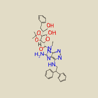 CCN(C(=O)[C@H]1O[C@@H](O)[C@]2(C(CO)Cc3ccccc3)OC(C)(C)O[C@H]12)n1c(N)nc2c(NCC(c3ccccc3)c3ccccc3)ncnc21